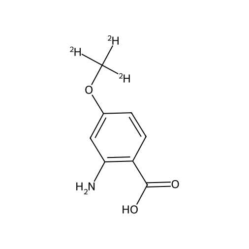 [2H]C([2H])([2H])Oc1ccc(C(=O)O)c(N)c1